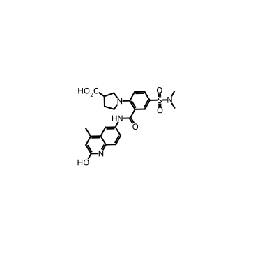 Cc1cc(O)nc2ccc(NC(=O)c3cc(S(=O)(=O)N(C)C)ccc3N3CCC(C(=O)O)C3)cc12